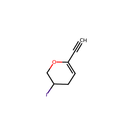 C#CC1=CCC(I)CO1